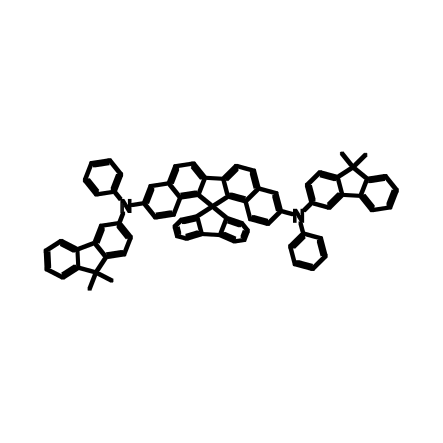 CC1(C)c2ccccc2-c2cc(N(c3ccccc3)c3ccc4c5c(ccc4c3)-c3ccc4cc(N(c6ccccc6)c6ccc7c(c6)-c6ccccc6C7(C)C)ccc4c3C53c4ccccc4-c4ccccc43)ccc21